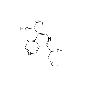 CCC(C)c1ncc(C(C)C)c2ncncc12